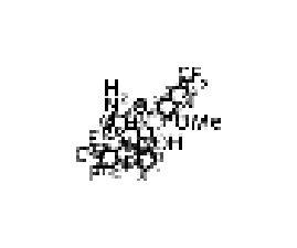 CCOc1c(CC(N)=O)cc([C@@](O)(CNC(=O)c2cc(OC)c3ncc(C(F)(F)F)cc3c2)c2ccccc2)nc1-c1cc(Cl)c(F)cc1F